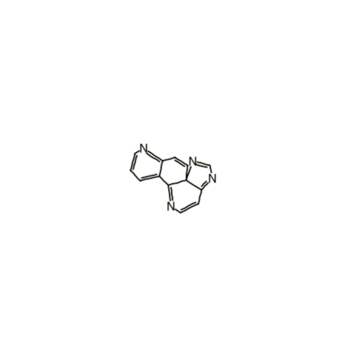 C1=CC2=NC=NC23C=Cc2ncccc2C3=N1